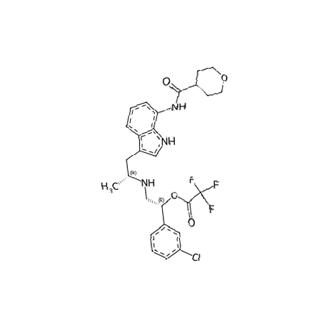 C[C@H](Cc1c[nH]c2c(NC(=O)C3CCOCC3)cccc12)NC[C@H](OC(=O)C(F)(F)F)c1cccc(Cl)c1